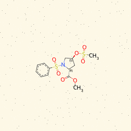 COC(=O)[C@H]1C[C@H](OS(C)(=O)=O)CN1S(=O)(=O)c1ccccc1